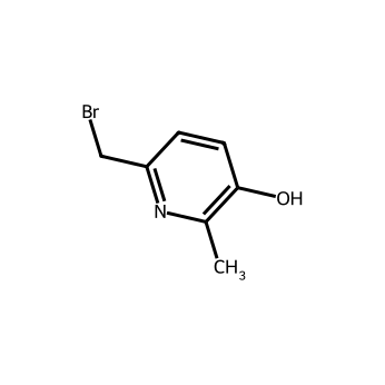 Cc1nc(CBr)ccc1O